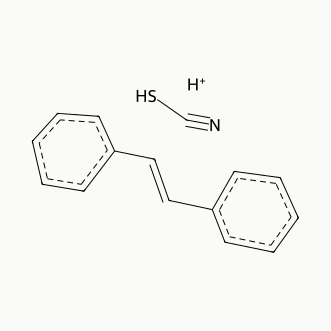 C(=Cc1ccccc1)c1ccccc1.N#CS.[H+]